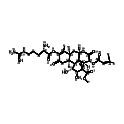 COC(=O)C12OC[C@]34C([C@@H](O)[C@@H]1O)[C@@]1(C)CC(=O)C(OC(=O)[C@@H](N)CCCNC(=N)N)=C(C)[C@@H]1C[C@H]3OC(=O)[C@H](OC(=O)C=C(C)C)[C@@H]24